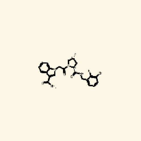 NC(=O)c1cn(CC(=O)N2C[C@H](F)C[C@H]2C(=O)NCc2cccc(Br)c2F)c2ccccc12